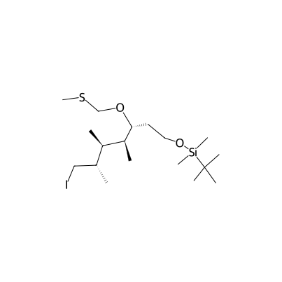 CSCO[C@H](CCO[Si](C)(C)C(C)(C)C)[C@@H](C)[C@H](C)[C@H](C)CI